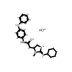 CN1C(=NC2CCCCC2)SCC1CC(=O)Nc1ccc(Oc2ccccc2)cc1.Cl